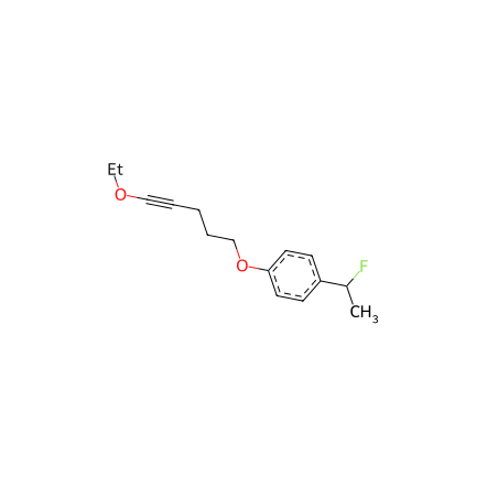 CCOC#CCCCOc1ccc(C(C)F)cc1